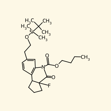 CCCCOC(=O)N1C(=O)C2(F)CCCC2c2ccc(CCO[Si](C)(C)C(C)(C)C)cc21